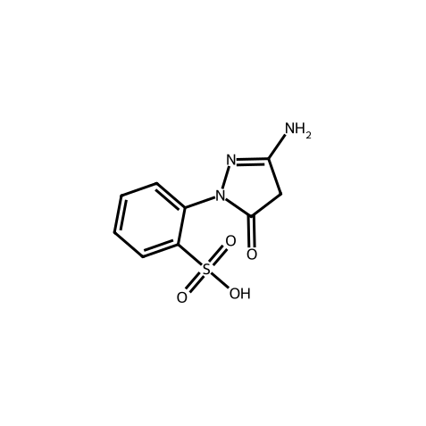 NC1=NN(c2ccccc2S(=O)(=O)O)C(=O)C1